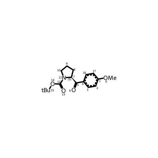 COc1ccc(C(=O)[C@@H]2CCCN2C(=O)OC(C)(C)C)cc1